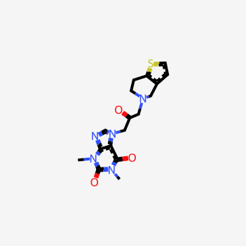 Cn1c(=O)c2c(ncn2CC(=O)CN2CCc3sccc3C2)n(C)c1=O